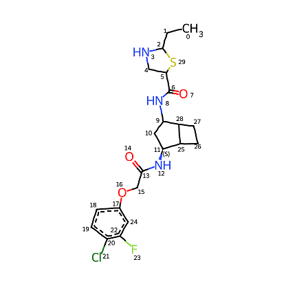 CCC1NCC(C(=O)NC2C[C@H](NC(=O)COc3ccc(Cl)c(F)c3)C3CCC23)S1